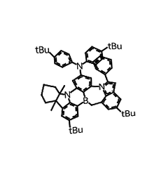 CC(C)(C)c1ccc(N(c2ccc(C(C)(C)C)cc2)c2cc3c4c(c2)-n2c(-c5ccccc5)cc5cc(C(C)(C)C)cc(c52)CB4c2cc(C(C)(C)C)cc4c2N3C2(C)CCCCC42C)cc1